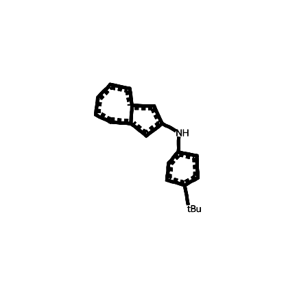 CC(C)(C)c1ccc(Nc2cc3cccccc-3c2)cc1